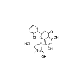 CN1CC[C@H](c2c(O)cc(O)c3c(=O)cc(-c4ccccc4Cl)oc23)[C@H]1CO.Cl